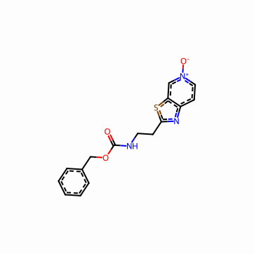 O=C(NCCc1nc2cc[n+]([O-])cc2s1)OCc1ccccc1